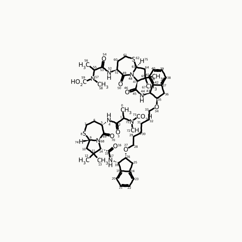 CC(C(=O)N[C@H]1CCS[C@H]2CC(C)(C)[C@@H](C(=O)N[C@H]3c4ccccc4C[C@H]3OCCCCCCO[C@@H]3Cc4ccccc4[C@@H]3NC(=O)[C@H]3N4C(=O)[C@@H](NC(=O)C(C)N(C)C(=O)O)CCS[C@H]4CC3(C)C)N2C1=O)N(C)C(=O)O